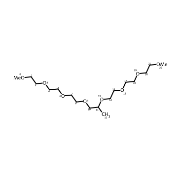 COCCOCCOCCOCC(C)OCCOCCOCCOC